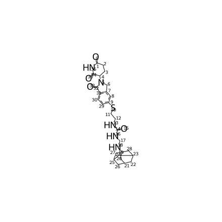 O=C1CCC(N2Cc3cc(SCCNC(=O)NCNC45CC6CC(CC(C6)C4)C5)ccc3C2=O)C(=O)N1